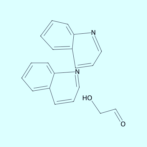 O=CCO.c1ccc2ncccc2c1.c1ccc2ncccc2c1